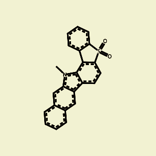 Cn1c2cc3ccccc3cc2c2ccc3c(c21)-c1ccccc1S3(=O)=O